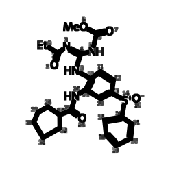 CCC(=O)N=C(NC(=O)OC)Nc1ccc([S+]([O-])c2ccccc2)cc1NC(=O)C1CCCCC1